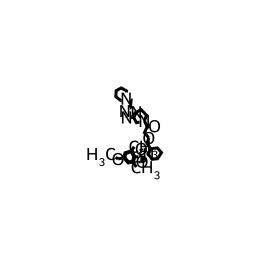 COc1cc(C)c(S(=O)(=O)N2CCCCC2COCC(=O)N2CCn3c(CN4CCCCC4)nnc3C2)c(C)c1